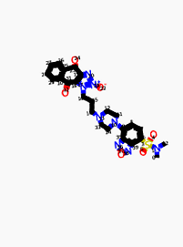 CN(C)S(=O)(=O)c1ccc(N2CCN(CCCn3c4c(n[n+]3[O-])C(=O)c3ccccc3C4=O)CC2)c2nonc12